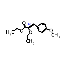 CCOC(=O)/C(=C/c1ccc(OC)cc1)OCC